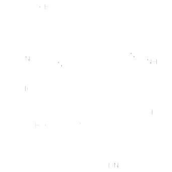 Cc1ccnc2c1ccn2C1CC(Oc2cc(-c3cn[nH]c3)c(F)c3c2CNCC3)C(O)C1O